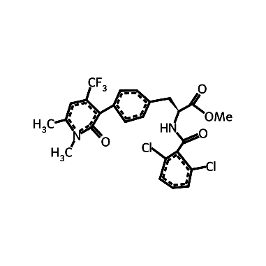 COC(=O)[C@H](Cc1ccc(-c2c(C(F)(F)F)cc(C)n(C)c2=O)cc1)NC(=O)c1c(Cl)cccc1Cl